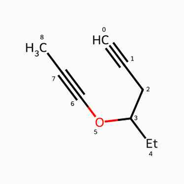 C#CCC(CC)OC#CC